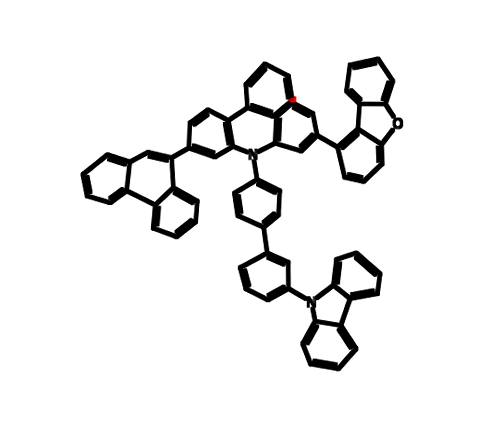 c1ccc(-c2ccc(-c3cc4ccccc4c4ccccc34)cc2N(c2ccc(-c3cccc(-n4c5ccccc5c5ccccc54)c3)cc2)c2cccc(-c3cccc4oc5ccccc5c34)c2)cc1